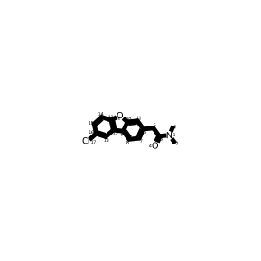 CN(C)C(=O)Cc1ccc2c(c1)oc1ccc(Cl)cc12